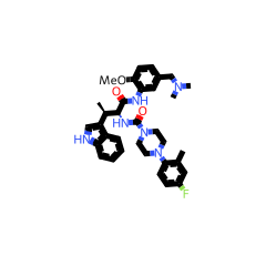 COc1ccc(CN(C)C)cc1NC(=O)[C@H](NC(=O)N1CCN(c2ccc(F)cc2C)CC1)[C@H](C)c1c[nH]c2ccccc12